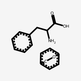 NC(Cc1ccccc1)C(=O)O.c1cc2ccc1CO2